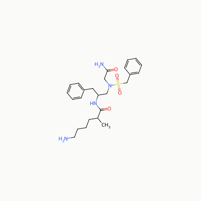 CC(CCCCN)C(=O)NC(Cc1ccccc1)CN(CC(N)=O)S(=O)(=O)Cc1ccccc1